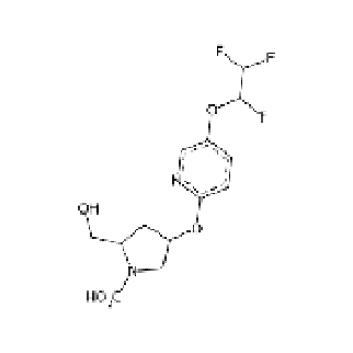 O=C(O)N1CC(Oc2ccc(OC(F)C(F)F)cn2)CC1CO